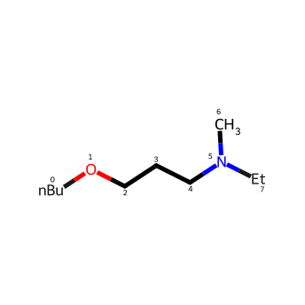 CCCCOCCCN(C)CC